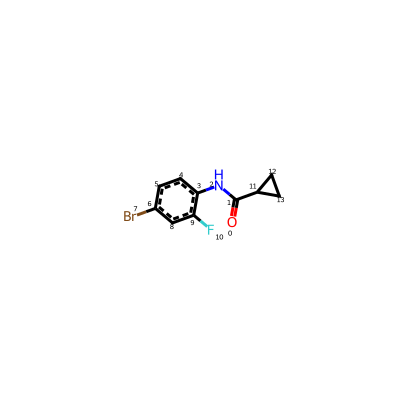 O=C(Nc1ccc(Br)cc1F)C1CC1